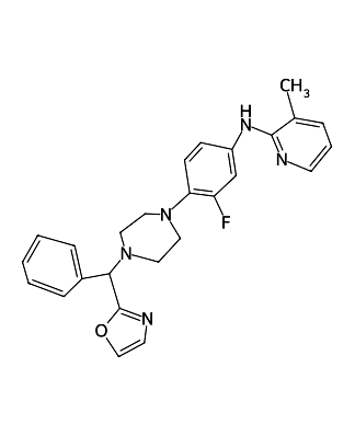 Cc1cccnc1Nc1ccc(N2CCN(C(c3ccccc3)c3ncco3)CC2)c(F)c1